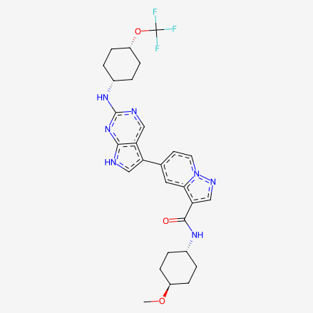 CO[C@H]1CC[C@H](NC(=O)c2cnn3ccc(-c4c[nH]c5nc(N[C@H]6CC[C@@H](OC(F)(F)F)CC6)ncc45)cc23)CC1